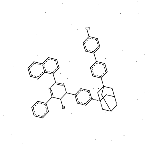 CCC1C(c2ccccc2)=NC(c2cccc3ccccc23)=NC1c1ccc(C23CC4CC(CC(c5ccc(-c6ccc(C#N)cc6)cc5)(C4)C2)C3)cc1